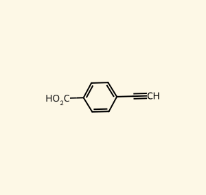 C#Cc1ccc(C(=O)O)cc1